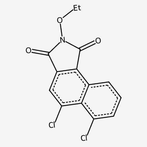 CCON1C(=O)c2cc(Cl)c3c(Cl)cccc3c2C1=O